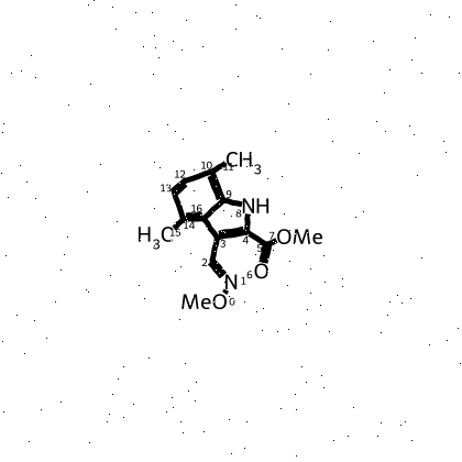 CON=Cc1c(C(=O)OC)[nH]c2c(C)ccc(C)c12